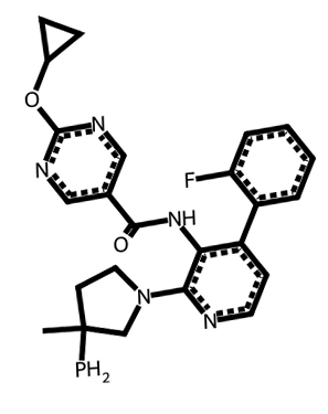 CC1(P)CCN(c2nccc(-c3ccccc3F)c2NC(=O)c2cnc(OC3CC3)nc2)C1